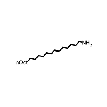 CCCCCCCCCCCCCCC=CCCCCCN